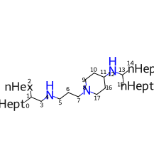 CCCCCCCC(CCCCCC)CNCCCN1CCC(NC(CCCCCCC)CCCCCCC)CC1